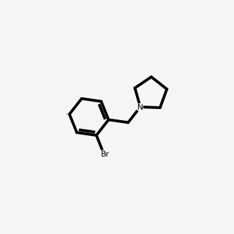 BrC1=C[CH]CC=C1CN1CCCC1